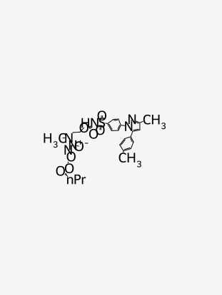 CCCC(=O)OCO/N=[N+](\[O-])N(C)CCOC(=O)NS(=O)(=O)c1ccc(-n2nc(C)cc2-c2ccc(C)cc2)cc1